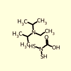 CCN(C(C)C)C(C)C.O=C(O)N(S)S